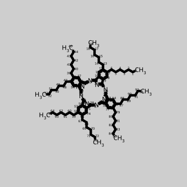 CCCCCCCc1cc2c(cc1CCCCCCC)-c1nc-2nc2[nH]c(nc3nc(nc4[nH]c(n1)c1cc(CCCCCCC)c(CCCCCCC)cc41)-c1cc(CCCCCCC)c(CCCCCCC)cc1-3)c1cc(CCCCCCC)c(CCCCCCC)cc21